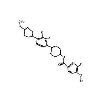 CCCCOC1CCC(c2ccc(C3CCC(OC(=O)c4ccc(OCC)c(F)c4)CC3)c(F)c2F)CC1